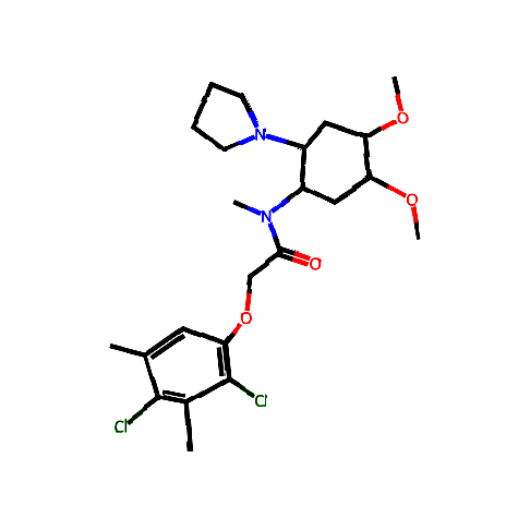 COC1CC(N2CCCC2)C(N(C)C(=O)COc2cc(C)c(Cl)c(C)c2Cl)CC1OC